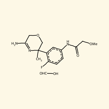 COCC(=O)Nc1ccc(F)c(C2(C)COCC(N)=N2)c1.O=CO